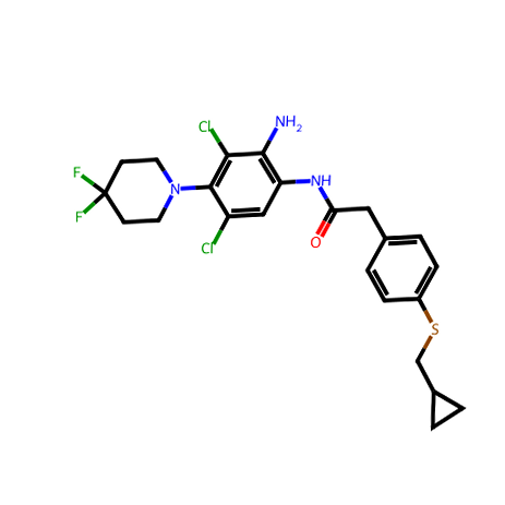 Nc1c(NC(=O)Cc2ccc(SCC3CC3)cc2)cc(Cl)c(N2CCC(F)(F)CC2)c1Cl